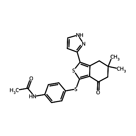 CC(=O)Nc1ccc(Sc2sc(-c3cc[nH]n3)c3c2C(=O)CC(C)(C)C3)cc1